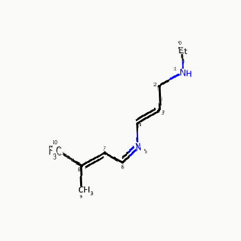 CCNC/C=C/N=C\C=C(/C)C(F)(F)F